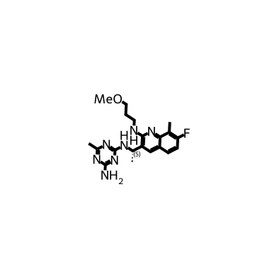 COCCCNc1nc2c(C)c(F)ccc2cc1[C@H](C)Nc1nc(C)nc(N)n1